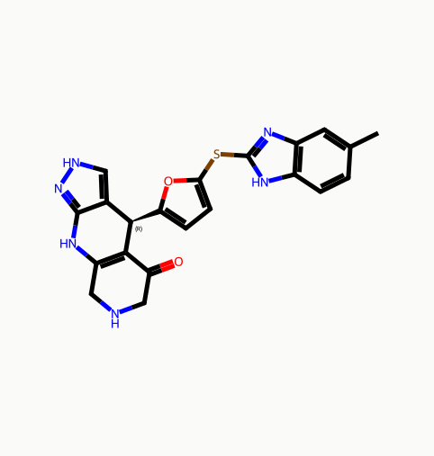 Cc1ccc2[nH]c(Sc3ccc([C@H]4C5=C(CNCC5=O)Nc5n[nH]cc54)o3)nc2c1